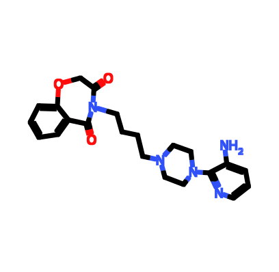 Nc1cccnc1N1CCN(CCCCN2C(=O)COc3ccccc3C2=O)CC1